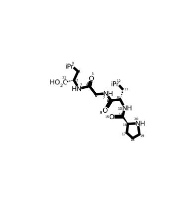 CC(C)C[C@H](NC(=O)CNC(=O)[C@H](CC(C)C)NC(=O)[C@@H]1CCCN1)C(=O)O